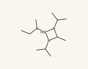 CCN(C)[SiH]1N(C(C)C)C(C)N1C(C)C